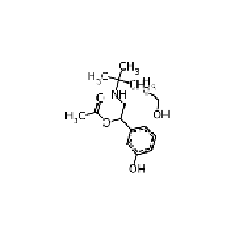 CC(=O)OC(CNC(C)(C)C)c1cccc(O)c1.CCO